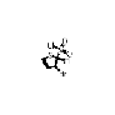 O=S(=O)(Cl)C1(Cl)SC=CC1Br